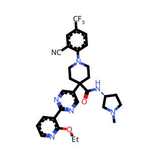 CCOc1ncccc1-c1ncc(C2(C(=O)N[C@@H]3CCN(C)C3)CCN(c3ccc(C(F)(F)F)cc3C#N)CC2)cn1